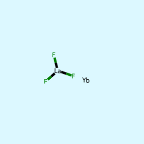 [F][La]([F])[F].[Yb]